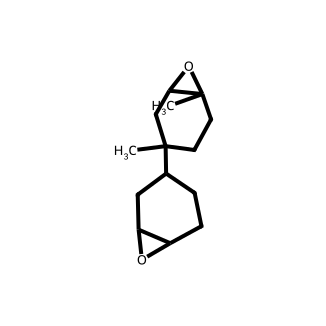 CC1(C2CCC3OC3C2)CCC2(C)OC2C1